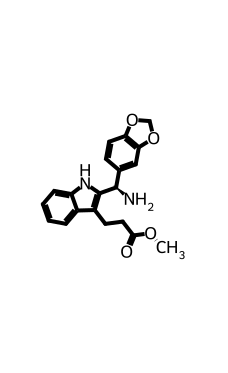 COC(=O)CCc1c([C@H](N)c2ccc3c(c2)OCO3)[nH]c2ccccc12